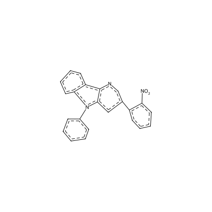 O=[N+]([O-])c1ccccc1-c1cnc2c3ccccc3n(-c3ccccc3)c2c1